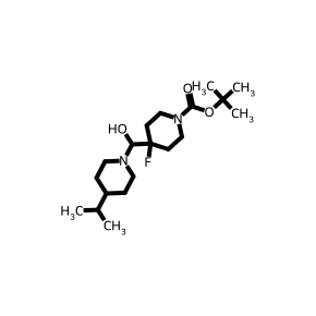 CC(C)C1CCN(C(O)C2(F)CCN(C(=O)OC(C)(C)C)CC2)CC1